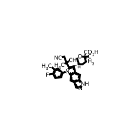 Cc1cc(-n2c(C(C)(C)CC#N)c([C@H]3CC[C@](C)(C(=O)O)OC3)c3cc4[nH]ncc4cc32)ccc1F